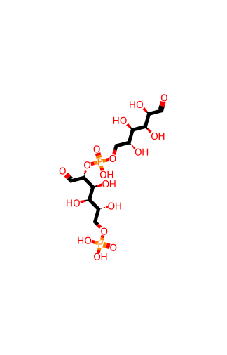 O=C[C@H](OP(=O)(O)OC[C@@H](O)[C@@H](O)[C@H](O)[C@@H](O)C=O)[C@@H](O)[C@H](O)[C@H](O)COP(=O)(O)O